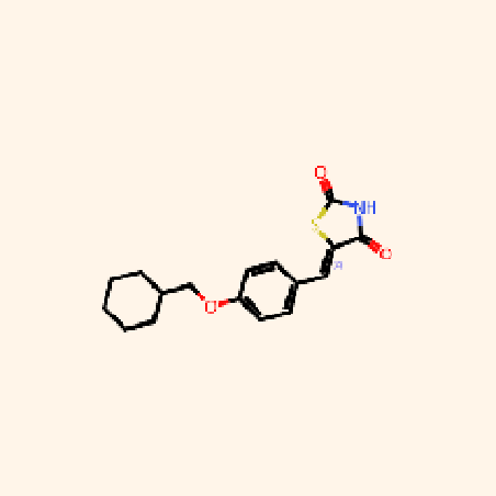 O=C1NC(=O)/C(=C/c2ccc(OCC3CCCCC3)cc2)S1